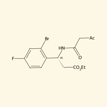 CCOC(=O)C[C@@H](NC(=O)CC(C)=O)c1ccc(F)cc1Br